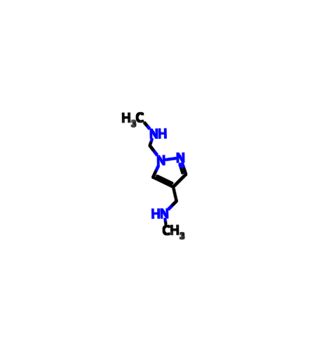 CNCc1cnn(CNC)c1